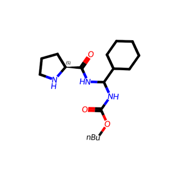 CCCCOC(=O)NC(NC(=O)[C@@H]1CCCN1)C1CCCCC1